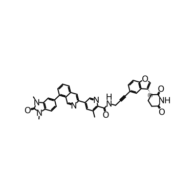 Cc1cc(-c2cc3cccc(-c4ccc5c(c4)n(C)c(=O)n5C)c3cn2)cnc1C(=O)NCC#Cc1ccc2occ([C@H]3CCC(=O)NC3=O)c2c1